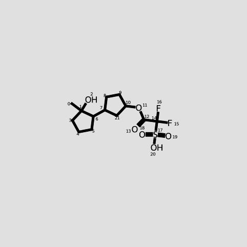 CC1(O)CCCC1C1CCC(OC(=O)C(F)(F)S(=O)(=O)O)C1